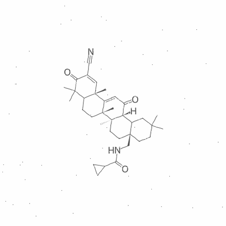 CC1(C)CC[C@]2(CNC(=O)C3CC3)CC[C@]3(C)[C@H](C(=O)C=C4[C@@]5(C)C=C(C#N)C(=O)C(C)(C)C5CC[C@]43C)C2C1